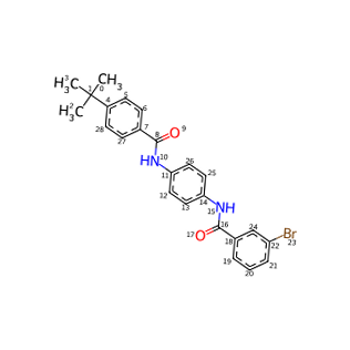 CC(C)(C)c1ccc(C(=O)Nc2ccc(NC(=O)c3cccc(Br)c3)cc2)cc1